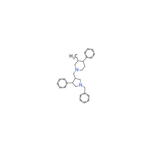 CC1CN(CC2CN(Cc3ccccc3)CC2c2ccccc2)CCC1c1ccccc1